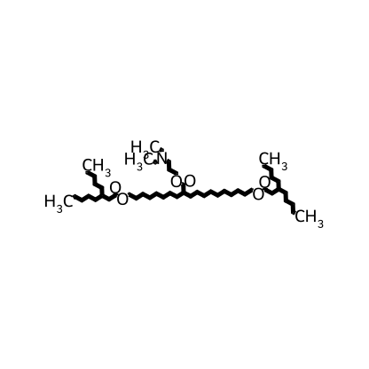 CCCCCC(CCCCC)CC(=O)OCCCCCCCCCCC(CCCCCCCCOC(=O)CC(CCCCC)CCCCC)C(=O)OCCCN(CC)CC